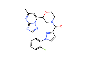 Cc1cc(C2CN(C(=O)c3ccn(-c4ccccc4F)n3)CCO2)n2ncnc2n1